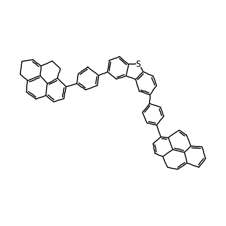 C1=CC2CC=c3cccc4ccc(c2c34)=C1c1ccc(-c2ccc3sc4ccc(-c5ccc(-c6ccc7ccc8c9c7c6CCC9=CCC8)cc5)cc4c3c2)cc1